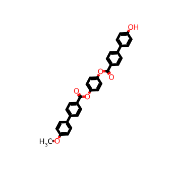 COc1ccc(-c2ccc(C(=O)Oc3ccc(OC(=O)c4ccc(-c5ccc(O)cc5)cc4)cc3)cc2)cc1